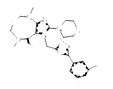 CN1COCN(C)c2nc(N3CCNCC3)n(Cc3nnc(-c4cccc(F)c4)o3)c2C1=O